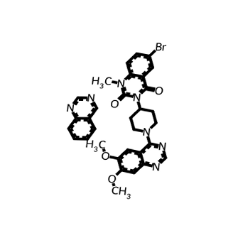 COc1cc2ncnc(N3CCC(n4c(=O)c5cc(Br)ccc5n(C)c4=O)CC3)c2cc1OC.c1ccc2ncncc2c1